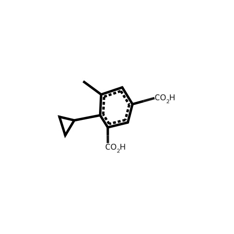 Cc1cc(C(=O)O)cc(C(=O)O)c1C1CC1